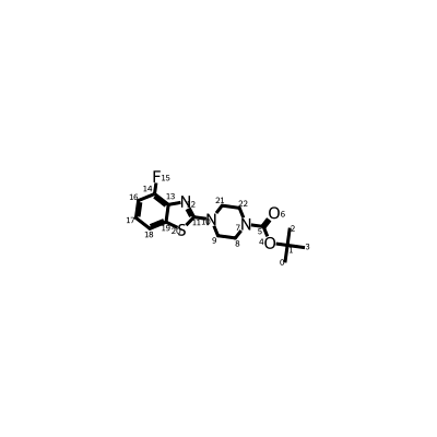 CC(C)(C)OC(=O)N1CCN(c2nc3c(F)cccc3s2)CC1